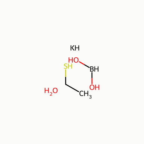 CCS.O.OBO.[KH]